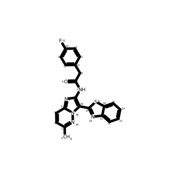 Cc1ccc2nc(NC(=O)Cc3ccc(F)cc3)c(-c3nc4ccccc4s3)n2n1